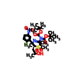 C[C@H](O)C[C@@H]1C(C)(c2cc([N+](=O)[O-])ccc2F)N=C(N(C(=O)OC(C)(C)C)C(=O)OC(C)(C)C)C(C)(C)S1(=O)=O